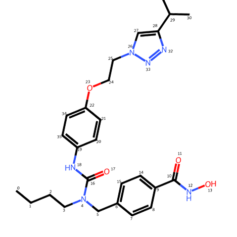 CCCCN(Cc1ccc(C(=O)NO)cc1)C(=O)Nc1ccc(OCCn2cc(C(C)C)nn2)cc1